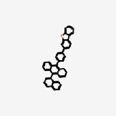 C1=Cc2c(c(-c3ccc(-c4ccc5c(c4)sc4ccccc45)cc3)c3ccccc3c2-c2cccc3ccccc23)CC1